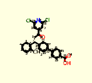 Cc1ccccc1[C@H](CC(=O)c1cc(Cl)nc(Cl)c1)c1ccc(-c2ccc(C(=O)O)cc2)cc1